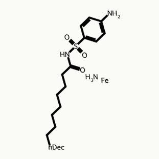 CCCCCCCCCCCCCCCCCC(=O)NS(=O)(=O)c1ccc(N)cc1.N.[Fe]